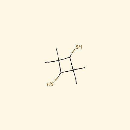 CC1(C)C(S)C(C)(C)C1S